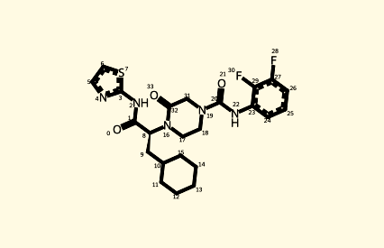 O=C(Nc1nccs1)[C@H](CC1CCCCC1)N1CCN(C(=O)Nc2cccc(F)c2F)CC1=O